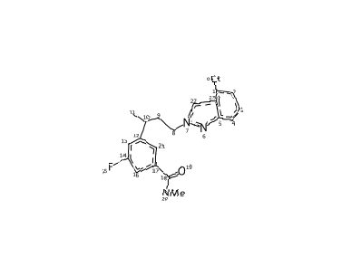 CCc1cccc2nn(CCC(C)c3cc(F)cc(C(=O)NC)c3)cc12